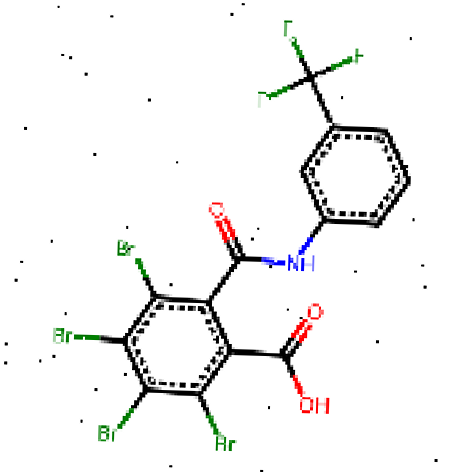 O=C(O)c1c(Br)c(Br)c(Br)c(Br)c1C(=O)Nc1cccc(C(F)(F)F)c1